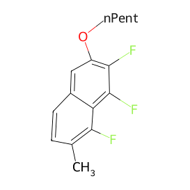 CCCCCOc1cc2ccc(C)c(F)c2c(F)c1F